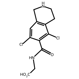 O=C(O)CNC(=O)c1c(Cl)cc2c(c1Cl)CCNC2